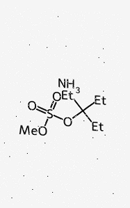 CCC(CC)(CC)OS(=O)(=O)OC.N